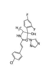 CC(NC(=O)C=Cc1ccc(Cl)cc1)C(O)(Cn1cncn1)c1ccc(F)cc1F